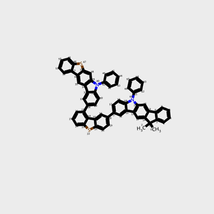 CC1(C)c2ccccc2-c2cc3c(cc21)c1cc(-c2ccc4sc5cccc(-c6ccc7c(c6)c6cc8c(cc6n7-c6ccccc6)sc6ccccc68)c5c4c2)ccc1n3-c1ccccc1